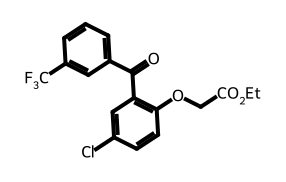 CCOC(=O)COc1ccc(Cl)cc1C(=O)c1cccc(C(F)(F)F)c1